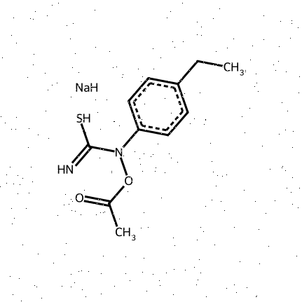 CCc1ccc(N(OC(C)=O)C(=N)S)cc1.[NaH]